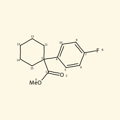 COC(=O)C1(c2ccc(F)cc2)CCCCC1